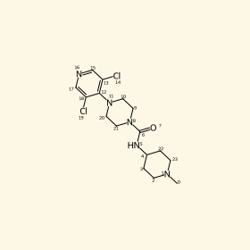 CN1CCC(NC(=O)N2CCN(c3c(Cl)cncc3Cl)CC2)CC1